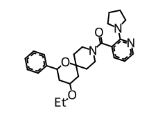 CCOC1CC(c2ccccc2)OC2(CCN(C(=O)c3cccnc3N3CCCC3)CC2)C1